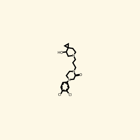 O=C1CN(c2ccc(Cl)c(Cl)c2)CCN1CCCN1CCC2(CC2)C(O)C1